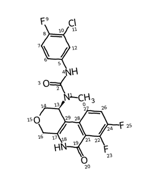 CN(C(=O)Nc1ccc(F)c(Cl)c1)[C@@H]1COCc2[nH]c(=O)c3c(F)c(F)ccc3c21